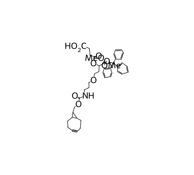 COC(OC)(OC(c1ccccc1)(c1ccccc1)c1ccccc1)C(CCOCCCNC(=O)OCC1C2CCC#CCCC21)OC(=O)CCC(=O)O